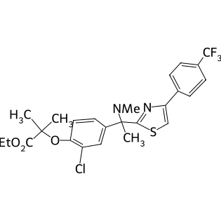 CCOC(=O)C(C)(C)Oc1ccc(C(C)(NC)c2nc(-c3ccc(C(F)(F)F)cc3)cs2)cc1Cl